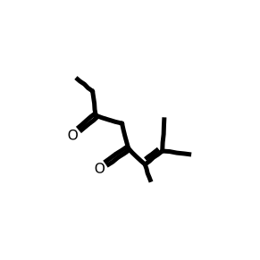 CCC(=O)CC(=O)C(C)=C(C)C